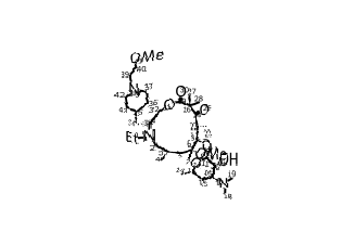 CCN1C[C@H](C)C[C@@](C)(OC)[C@H](O[C@@H]2O[C@H](C)C[C@H](N(C)C)[C@H]2O)[C@@H](C)C(=O)C(C)(C)C(=O)OC[C@H]1CC1CCN(CCOC)CC1